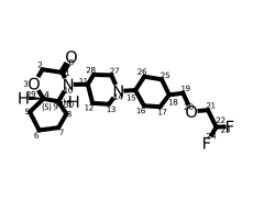 O=C1CO[C@H]2CCCC[C@@H]2N1C1CCN(C2CCC(COCC(F)F)CC2)CC1